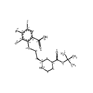 CC(C)(C)OC(=O)N1CCN[C@@H](CCOc2c(C(=O)O)cc(F)c(Br)c2Cl)C1